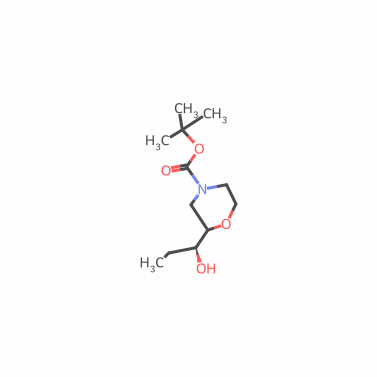 CC[C@H](O)C1CN(C(=O)OC(C)(C)C)CCO1